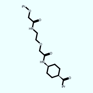 CC(C)OCC(=O)NCCOCC(=O)N[C@H]1CC[C@@H](C(=O)C(C)C)CC1